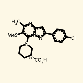 CSc1c(C)nc2cc(-c3ccc(Cl)cc3)nn2c1N1CCC[C@@H](C(=O)O)C1